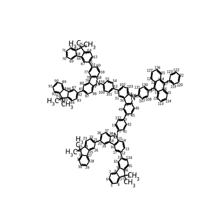 CC1(C)c2ccccc2-c2cc(-c3ccc4c(c3)c3cc(-c5ccc6c(c5)-c5ccccc5C6(C)C)ccc3n4-c3ccc(-c4ccc5c(c4)c4cc(-c6ccc(-n7c8ccc(-c9ccc%10c(c9)-c9ccccc9C%10(C)C)cc8c8cc(-c9ccc%10c(c9)-c9ccccc9C%10(C)C)ccc87)cc6)ccc4n5-c4ccc(-c5c6ccccc6c(-c6ccccc6)c6ccccc56)cc4)cc3)ccc21